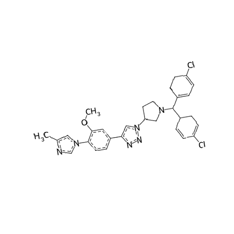 COc1cc(-c2cn(C3CCN(C(C4=CC=C(Cl)CC4)C4C=CC(Cl)=CC4)C3)nn2)ccc1-n1cnc(C)c1